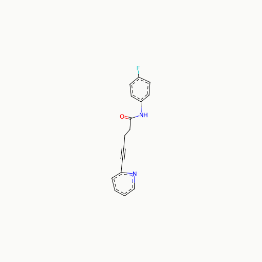 O=C(CCC#Cc1ccccn1)Nc1ccc(F)cc1